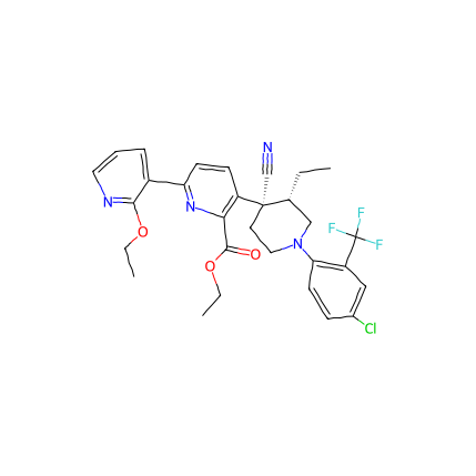 CCOC(=O)c1nc(-c2cccnc2OCC)ccc1[C@]1(C#N)CCN(c2ccc(Cl)cc2C(F)(F)F)C[C@H]1CC